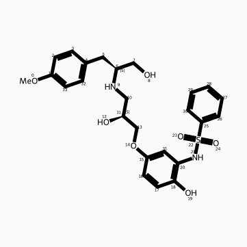 COc1ccc(C[C@@H](CO)NC[C@H](O)COc2ccc(O)c(NS(=O)(=O)c3ccccc3)c2)cc1